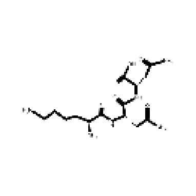 NCCCC[C@H](N)C(=O)N[C@@H](CC(N)=O)C(=O)N[C@@H](CC(N)=O)C(=O)O